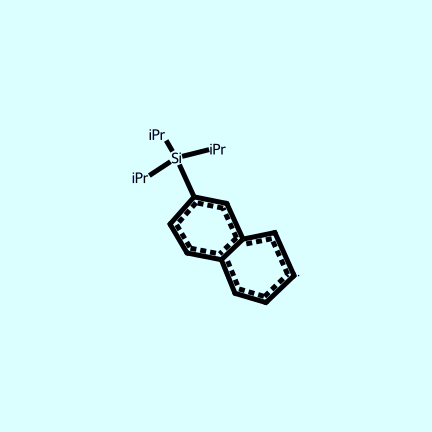 CC(C)[Si](c1ccc2cc[c]cc2c1)(C(C)C)C(C)C